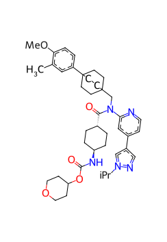 COc1ccc(C23CCC(CN(c4cc(-c5cnn(C(C)C)c5)ccn4)C(=O)[C@H]4CC[C@H](NC(=O)OC5CCOCC5)CC4)(CC2)CC3)cc1C